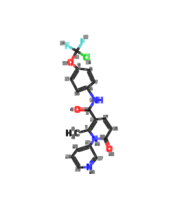 Cc1c(C(=O)Nc2ccc(OC(F)(F)Cl)cc2)ccc(=O)n1-c1cccnc1